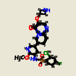 COc1ncc(-c2ccc3ncc(OC4CNC4)c(=O)n3c2)cc1NS(=O)(=O)c1ccc(F)cc1Cl